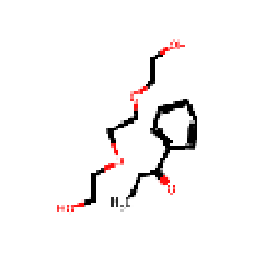 CCC(=O)c1ccccc1.OCCOCCOCCO